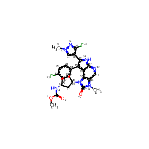 COC(=O)N[C@@H]1CC[C@@H](n2c(=O)n(C)c3cnc4[nH]c(-c5cn(C)nc5F)c(-c5ccc(F)cc5)c4c32)C1